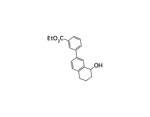 CCOC(=O)c1cccc(-c2ccc3c(c2)C(O)CCC3)c1